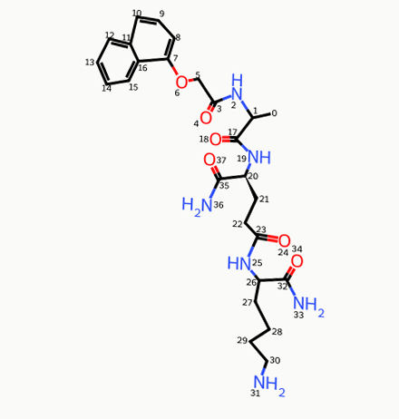 CC(NC(=O)COc1cccc2ccccc12)C(=O)N[C@@H](CCC(=O)NC(CCCCN)C(N)=O)C(N)=O